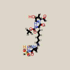 CC(=O)[C@@H]1C(C)[C@@H](O)CN1C(=O)[C@H](CCCCC/C=C/[C@@H]1C[C@]1(NP)C(=O)NS(C)(=O)=O)NC(=O)OC(C)(C)C